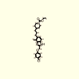 CCOC(=O)N1CCC(CCCc2ccc3[nH]c(COc4ccc(Cl)cc4)nc3c2C)CC1